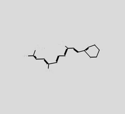 CCCC(=CC=C(C)C=CC=C(C)C=CC1=CCCCC1)C(=O)OCC